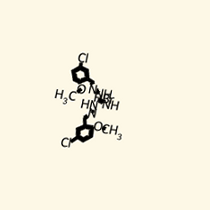 Br.COc1ccc(Cl)cc1/C=N/NC(=N)N/N=C/c1cc(Cl)ccc1OC